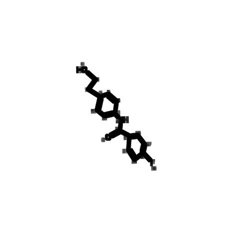 O=C(Nc1ccc(CCO)cc1)c1ccc(F)cc1